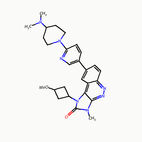 COC1CC(n2c(=O)n(C)c3nnc4ccc(-c5ccc(N6CCC(N(C)C)CC6)nc5)cc4c32)C1